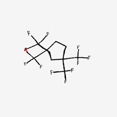 FC(F)(F)C1(C(F)(F)F)CCC(C(F)(F)F)(C(F)(F)F)C1